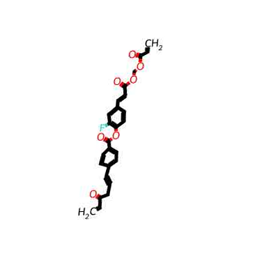 C=CC(=O)CC#Cc1ccc(C(=O)Oc2ccc(/C=C/C(=O)OCOC(=O)C=C)cc2F)cc1